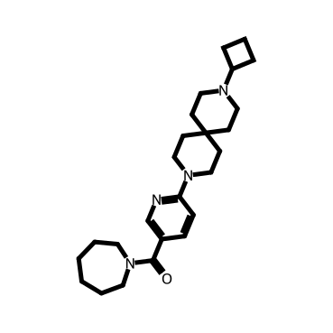 O=C(c1ccc(N2CCC3(CC2)CCN(C2CCC2)CC3)nc1)N1CCCCCC1